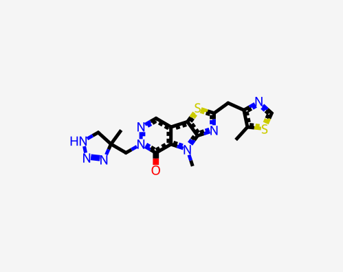 Cc1scnc1Cc1nc2c(s1)c1cnn(CC3(C)CNN=N3)c(=O)c1n2C